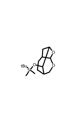 CC(C)(C)[Si](C)(C)OC1C2CCC3CC1OC3OC2